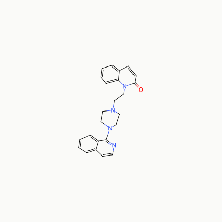 O=c1ccc2ccccc2n1CCN1CCN(c2nccc3ccccc23)CC1